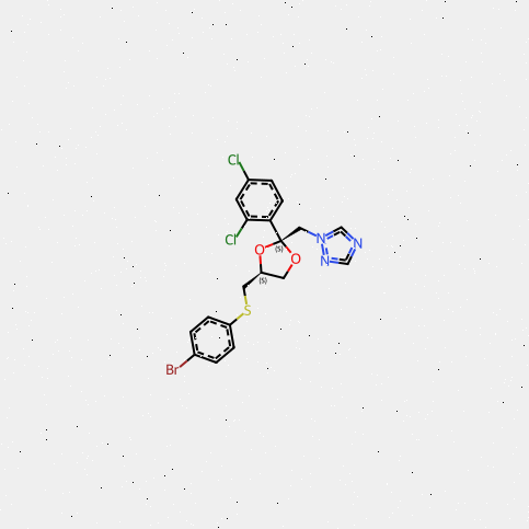 Clc1ccc([C@]2(Cn3cncn3)OC[C@@H](CSc3ccc(Br)cc3)O2)c(Cl)c1